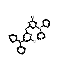 Clc1cc(N(c2ccccc2)c2ccccc2)cc(Cc2cc(N(c3ccccc3)c3ccccc3)cc(Cl)n2)n1